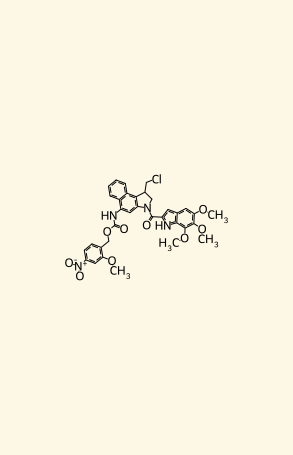 COc1cc([N+](=O)[O-])ccc1COC(=O)Nc1cc2c(c3ccccc13)C(CCl)CN2C(=O)c1cc2cc(OC)c(OC)c(OC)c2[nH]1